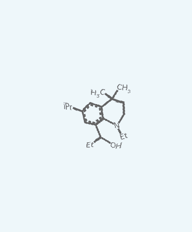 CCC(O)c1cc(C(C)C)cc2c1N(CC)CCC2(C)C